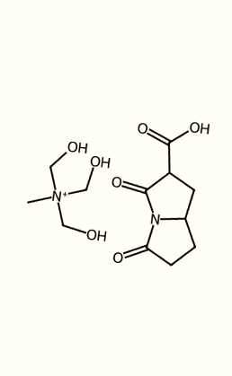 C[N+](CO)(CO)CO.O=C(O)C1CC2CCC(=O)N2C1=O